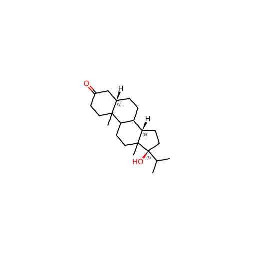 CC(C)[C@@]1(O)CC[C@H]2C3CC[C@H]4CC(=O)CCC4(C)C3CCC21C